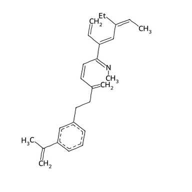 C=CC(=C\C(=C/C)CC)/C(/C=C\C(=C)CCc1cccc(C(=C)C)c1)=N/C